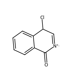 O=C1[N+]=CC(Cl)c2ccccc21